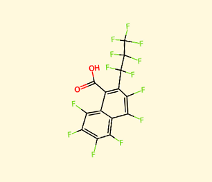 O=C(O)c1c(C(F)(F)C(F)(F)C(F)(F)F)c(F)c(F)c2c(F)c(F)c(F)c(F)c12